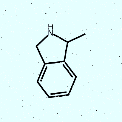 CC1NCc2c[c]ccc21